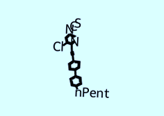 CCCCCc1ccc(-c2ccc(C#Cc3ncc(N=C=S)cc3Cl)cc2)cc1